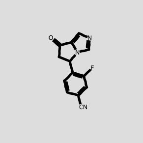 N#Cc1ccc(C2CC(=O)c3cncn32)c(F)c1